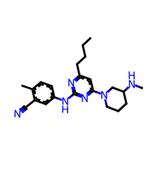 CCCCc1cc(N2CCCC(NC)C2)nc(Nc2ccc(C)c(C#N)c2)n1